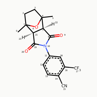 CC12CCC(C)(O1)[C@H]1C(=O)N(c3ccc(C#N)c(C(F)(F)F)c3)C(=O)[C@H]12